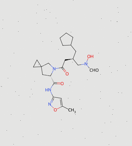 Cc1cc(NC(=O)[C@@H]2CC3(CC3)CN2C(=O)C[C@@H](CC2CCCC2)CN(O)C=O)no1